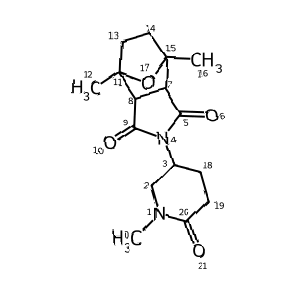 CN1CC(N2C(=O)C3C(C2=O)C2(C)CCC3(C)O2)CCC1=O